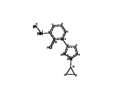 CC(C)Nc1cccn(-c2ccn(C3CC3)n2)c1=O